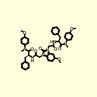 COc1ccc(N(C)C(=O)C(Cc2ccccc2)NC(=O)Cn2c(=O)n(CC(=O)N[C@@H](Cc3ccccc3)C(=O)N(C)c3ccc(OC)cc3)c3ccc(OC)cc32)cc1